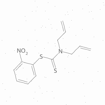 C=CCN(CC=C)C(=S)Sc1ccccc1[N+](=O)[O-]